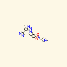 Cc1cc(-c2cncnc2)cc2c(N3CCc4ccc(S(=O)(=O)N(C)CC5CCN(C)CC5)cc4C3)ncnc12